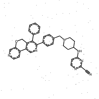 N#Cc1nccc(NC2CCN(Cc3ccc(-c4ncc5c(c4-c4ccccc4)COc4cnccc4-5)cc3)CC2)n1